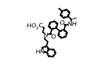 Cc1ccc([C@@H](C)NC(=O)c2ccccc2-c2ccccc2C(=O)N(CCC(=O)O)CCc2c[nH]c3ccccc23)cc1